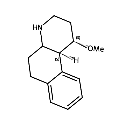 CO[C@H]1CCNC2CCc3ccccc3[C@@H]21